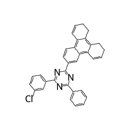 Clc1cccc(-c2nc(-c3ccccc3)nc(-c3ccc4c5c(c6c(c4c3)C=CCC6)CCC=C5)n2)c1